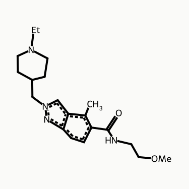 CCN1CCC(Cn2cc3c(C)c(C(=O)NCCOC)ccc3n2)CC1